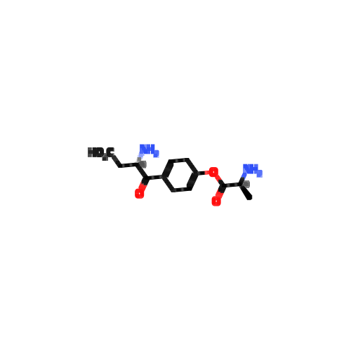 C[C@H](N)C(=O)OC1=CCC(C(=O)[C@@H](N)CC(=O)O)=CC1